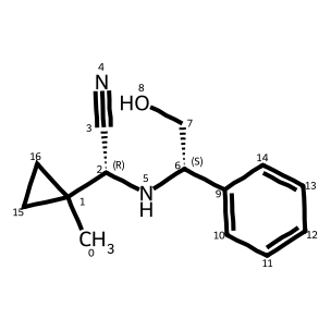 CC1([C@H](C#N)N[C@H](CO)c2ccccc2)CC1